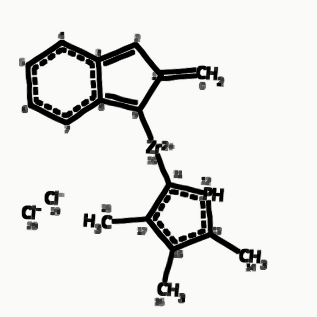 C=C1C=c2ccccc2=[C]1[Zr+2][c]1[pH]c(C)c(C)c1C.[Cl-].[Cl-]